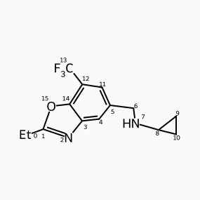 CCc1nc2cc(CNC3CC3)cc(C(F)(F)F)c2o1